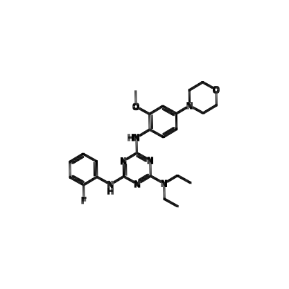 CCN(CC)c1nc(Nc2ccccc2F)nc(Nc2ccc(N3CCOCC3)cc2OC)n1